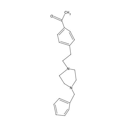 CC(=O)c1ccc(CCN2CCN(Cc3ccccc3)CC2)cc1